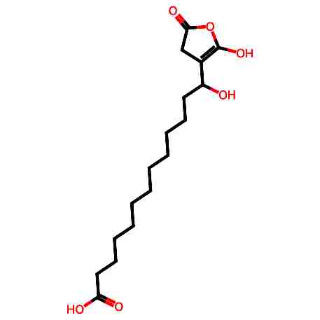 O=C(O)CCCCCCCCCCCC(O)C1=C(O)OC(=O)C1